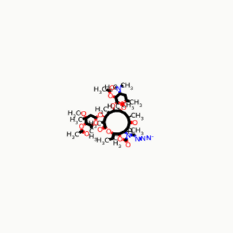 CCC1OC(=O)C(C)[C@@H](OC2CC(C)(OC)C(OC(C)=O)C(C)O2)C(C)[C@@H](OC2OC(C)CC(N(C)C)C2OC(C)=O)[C@@](C)(OC)C[C@@H](C)C(=O)[C@H](C)[C@H]2N(CN=[N+]=[N-])C(=O)O[C@]12C